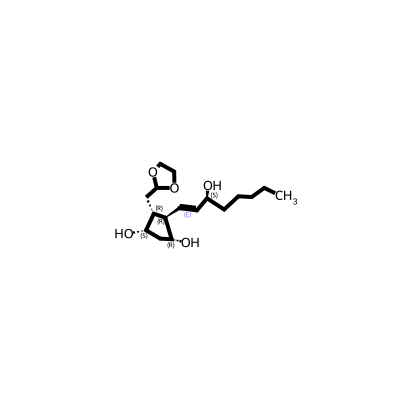 CCCCC[C@H](O)/C=C/[C@@H]1[C@@H](CC2OCCO2)[C@@H](O)C[C@H]1O